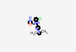 C[C@H]1CC[C@H](C)N1c1ccc(-c2nc3c(Cl)cccc3n2C[C@@H]2CNCCO2)cn1